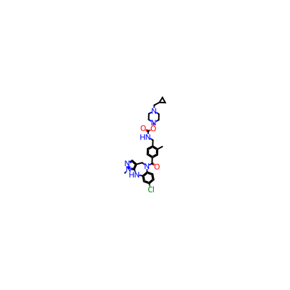 Cc1cc(C(=O)N2Cc3cnn(C)c3Nc3cc(Cl)ccc32)ccc1CNC(=O)ON1CCN(CC2CC2)CC1